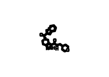 O=C(NCC1CCOCC1)c1[nH]nc2c1CN(C(=O)c1cc3ccccn3c1)CC2